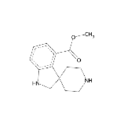 COC(=O)c1cccc2c1C1(CCNCC1)CN2